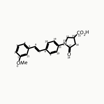 COc1cccc(C=Cc2ccc(N3CC(C(=O)O)CC3=O)cc2)c1